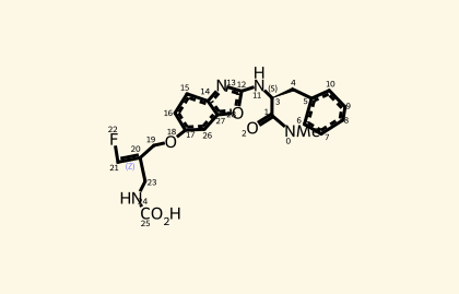 CNC(=O)[C@H](Cc1ccccc1)Nc1nc2ccc(OC/C(=C\F)CNC(=O)O)cc2o1